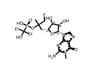 CCC(O)(CC)P(=O)(O)OC(C)(CF)C[C@H]1O[C@@H](n2cnc3c(=O)n(C)c(N)nc32)[C@H](O)[C@@H]1O